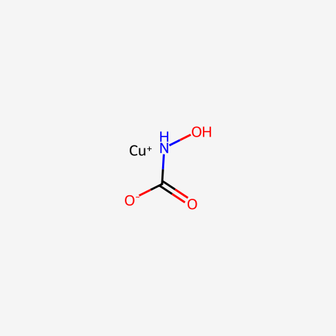 O=C([O-])NO.[Cu+]